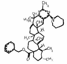 Cc1nc(N2CCCCC2)c2c(n1)C(C)(C)[C@@H]1CC[C@]3(C)[C@H](CC=C4[C@@H]5[C@@H](C)[C@H](C)CC[C@]5(C(=O)OCc5ccccc5)CC[C@]43C)[C@@]1(C)C2